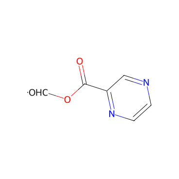 O=[C]OC(=O)c1cnccn1